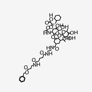 CCC1CC(C(=O)NCCNC(=O)CCCC(=O)NCCC(=O)OCc2ccccc2)C[C@@H](O[C@@H]2OC(CO)[C@H](O)C(O[C@@H](CC3CCCCC3)C(=O)O)C2NC(C)=O)C1O[C@@H]1OC(C)[C@@H](O)C(O)C1O